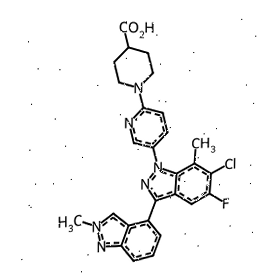 Cc1c(Cl)c(F)cc2c(-c3cccc4nn(C)cc34)nn(-c3ccc(N4CCC(C(=O)O)CC4)nc3)c12